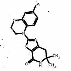 CC(C)c1ccc2c(c1)OCCN2c1nc2c(s1)C(=O)NC(C)(C)C2